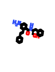 Nc1ccc(C(=O)N[C@H](CO)Cc2ccccc2)c(/C=C/c2ccccc2)c1